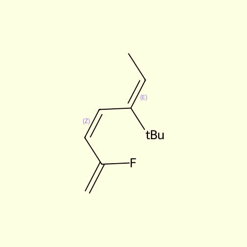 C=C(F)/C=C\C(=C/C)C(C)(C)C